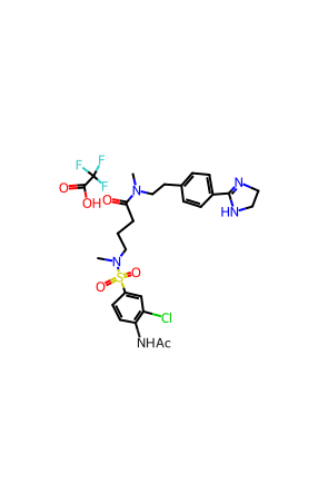 CC(=O)Nc1ccc(S(=O)(=O)N(C)CCCC(=O)N(C)CCc2ccc(C3=NCCN3)cc2)cc1Cl.O=C(O)C(F)(F)F